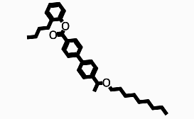 CCCCCCCCCOC(C)c1ccc(-c2ccc(C(=O)Oc3ccccc3CCCC)cc2)cc1